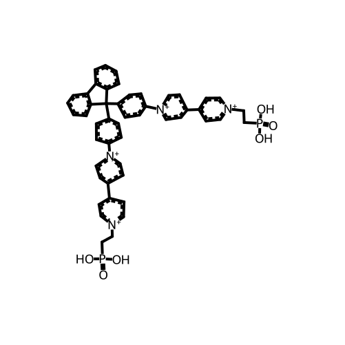 O=P(O)(O)CC[n+]1ccc(-c2cc[n+](-c3ccc(C4(c5ccc(-[n+]6ccc(-c7cc[n+](CCP(=O)(O)O)cc7)cc6)cc5)c5ccccc5-c5ccccc54)cc3)cc2)cc1